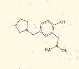 CN(C)Cc1cc(CN2C[CH]CC2)ccc1O